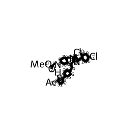 COC(=O)CNc1ccc(Cn2cc(-c3ccc(Cl)cc3Cl)nc2C=Cc2ccc(-c3ccc(C(C)=O)s3)cc2)cc1